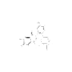 C[C@@H]1CN(c2cc(F)c(Br)cc2NC(=O)c2cn(C)c(=O)cc2C(F)F)C[C@H](C)N1C